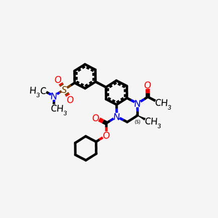 CC(=O)N1c2ccc(-c3cccc(S(=O)(=O)N(C)C)c3)cc2N(C(=O)OC2CCCCC2)C[C@@H]1C